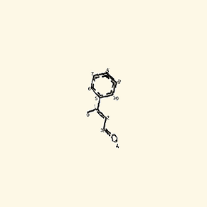 CC(=C[C]=O)c1ccccc1